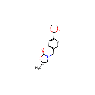 C[C@@H]1CN(Cc2ccc(C3OCCO3)cc2)C(=O)O1